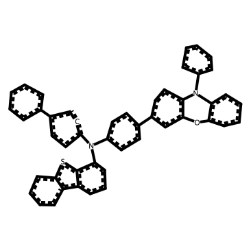 c1ccc(-c2ccc(N(c3ccc(-c4ccc5c(c4)Oc4ccccc4N5c4ccccc4)cc3)c3cccc4c3sc3ccccc34)cc2)cc1